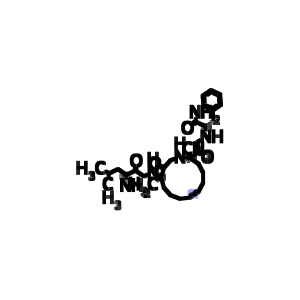 CC(C)C[C@H](N)C(=O)CN[C@@]1(C)CCC/C=C\CCC[C@@](C)(C(=O)CN[C@@H](Cc2ccccc2)C(N)=O)NCC1=O